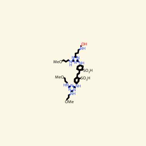 COCCCNc1nc(CCCNCO)nc(Nc2ccc(C=Cc3ccc(Nc4nc(NCCCOC)nc(NCCCOC)n4)cc3S(=O)(=O)O)c(S(=O)(=O)O)c2)n1